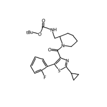 CC(C)(C)OC(=O)NCC1CCCCN1C(=O)c1nc(C2CC2)sc1-c1ccccc1F